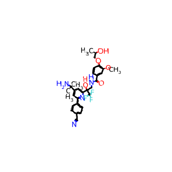 COc1cc(C(=O)NCC(O)(c2cc(C(C)(C)N)cc(-c3ccc(C#N)cc3)n2)C(F)(F)F)ccc1OC[C@@H](C)O